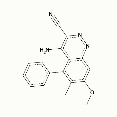 COc1cc2nnc(C#N)c(N)c2c(-c2ccccc2)c1C